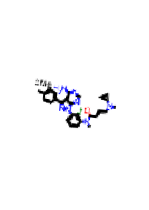 COc1cc(-c2nn(-c3cccc(N(C)C(=O)/C=C/CN(C)C4CC4)c3F)c3ncnc(N)c23)ccc1C